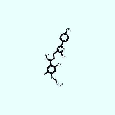 Cc1cc(C(CCc2sc(-c3ccc(C(F)(F)F)cc3)nc2C(C)C)=NO)c(O)cc1OCC(=O)O